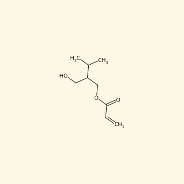 C=CC(=O)OCC(CO)C(C)C